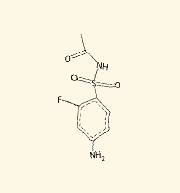 CC(=O)NS(=O)(=O)c1ccc(N)cc1F